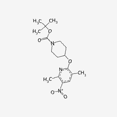 Cc1cc([N+](=O)[O-])c(C)nc1OC1CCN(C(=O)OC(C)(C)C)CC1